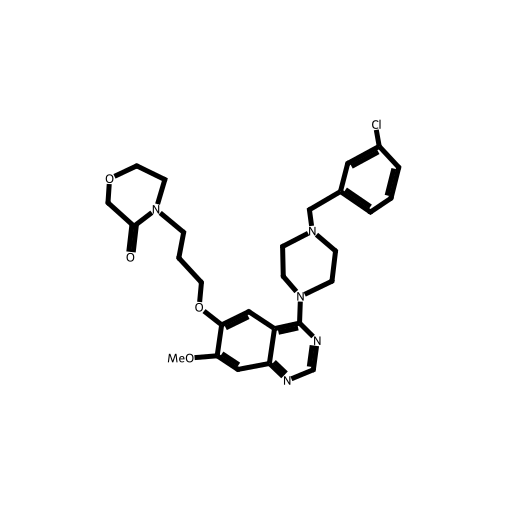 COc1cc2ncnc(N3CCN(Cc4cccc(Cl)c4)CC3)c2cc1OCCCN1CCOCC1=O